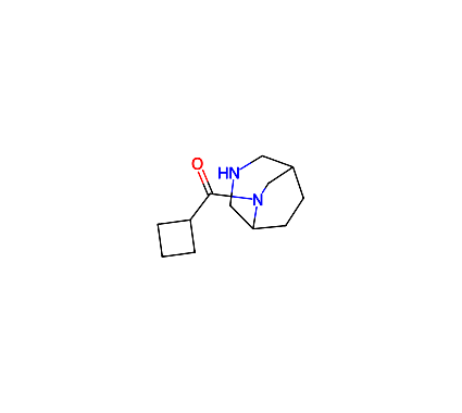 O=C(C1CCC1)N1CC2CCC1CNC2